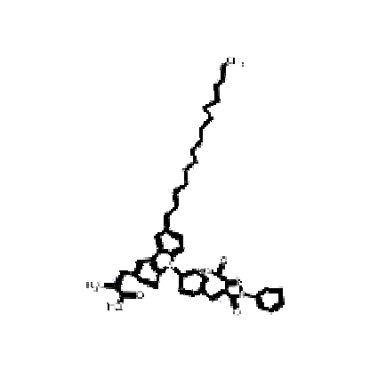 CCCCCCCCCCCCCCCCc1ccc2c(c1)c1cc(/C=C(/C)C(=O)O)ccc1n2-c1ccc(/C=C2/C(=O)N(c3ccccc3)N=C2C(=O)O)cc1